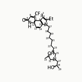 CCc1c(C)c2c3c(C(F)(F)F)cc(=O)[nH]c3ccc2n1CCCCCCCCCN(CC(C)O)CC(C)O